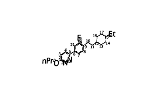 CCCOc1ccc(-c2ccc(CCC3CCC(CC)CC3)c(F)c2)nn1